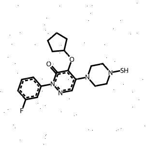 O=c1c(OC2CCCC2)c(N2CCN(S)CC2)cnn1-c1cccc(F)c1